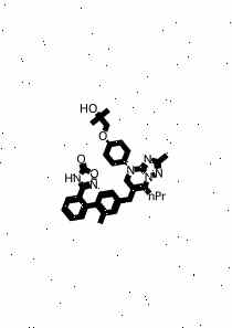 CCCC1=C(Cc2ccc(-c3ccccc3-c3noc(=O)[nH]3)c(C)c2)CN([C@H]2CC[C@H](OCC(C)(C)O)CC2)c2nc(C)nn21